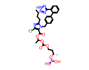 CCCCc1nc(Cl)c(C(=O)OC(C)OC(=O)OCC[C@H](C)ON(O)O)n1Cc1ccc(-c2ccccc2-c2nn[nH]n2)cc1